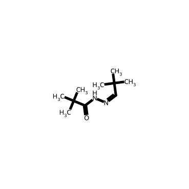 CC(C)(C)/C=N\NC(=O)C(C)(C)C